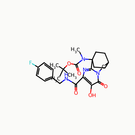 CN(C(=O)OC(C)(C)C)C12CCC(CC1)Cn1c2nc(C(=O)NCc2ccc(F)cc2)c(O)c1=O